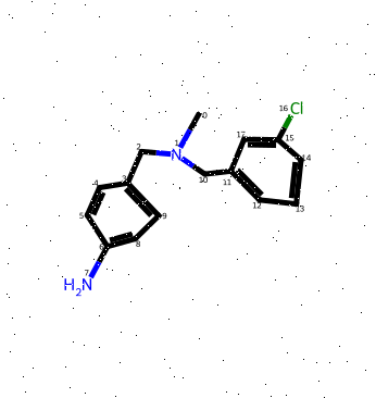 CN(Cc1ccc(N)cc1)Cc1cccc(Cl)c1